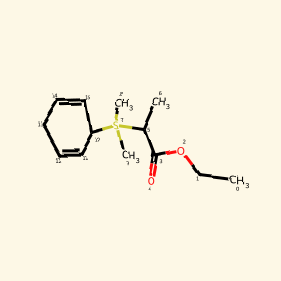 CCOC(=O)C(C)S(C)(C)C1C=CCC=C1